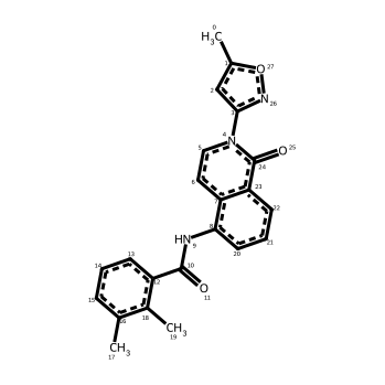 Cc1cc(-n2ccc3c(NC(=O)c4cccc(C)c4C)cccc3c2=O)no1